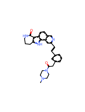 CN1CCN(C(=O)Cc2cccc(C=Cc3cc4c(ccc5c6c([nH]c54)CCCNC6=O)cn3)c2)CC1